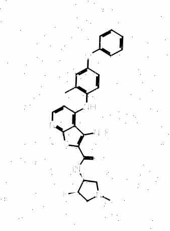 Cc1cc(Oc2ccccc2)ccc1Nc1ccnc2sc(C(=O)N[C@H]3CN(C)C[C@H]3F)c(N)c12